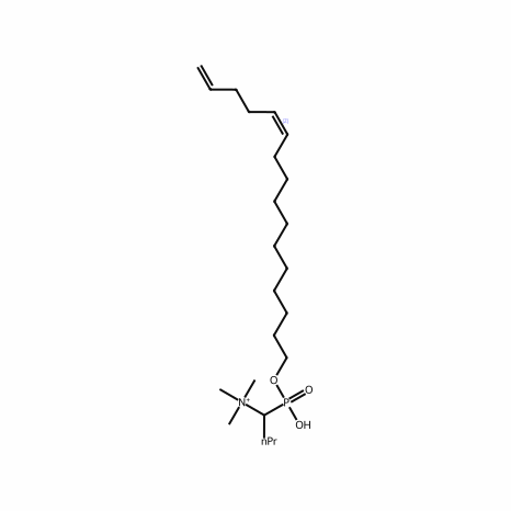 C=CCC/C=C\CCCCCCCCCCOP(=O)(O)C(CCC)[N+](C)(C)C